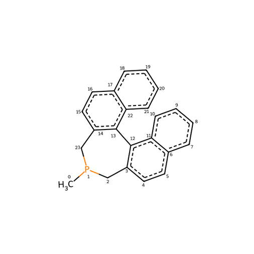 CP1Cc2ccc3ccccc3c2-c2c(ccc3ccccc23)C1